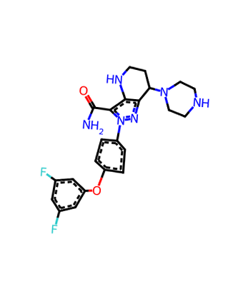 NC(=O)c1c2c(nn1-c1ccc(Oc3cc(F)cc(F)c3)cc1)C(N1CCNCC1)CCN2